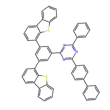 c1ccc(-c2ccc(-c3nc(-c4ccccc4)nc(-c4cc(-c5cccc6c5sc5ccccc56)cc(-c5cccc6c5sc5ccccc56)c4)n3)cc2)cc1